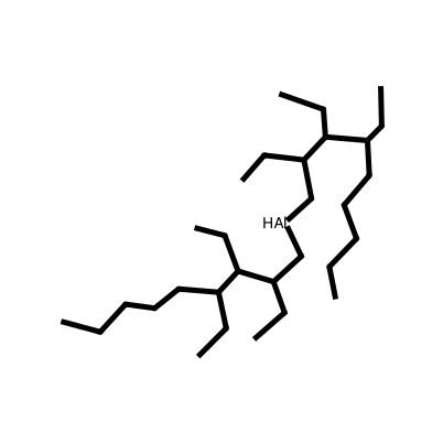 CCCCCC(CC)C(CC)C(CC)[CH2][AlH][CH2]C(CC)C(CC)C(CC)CCCCC